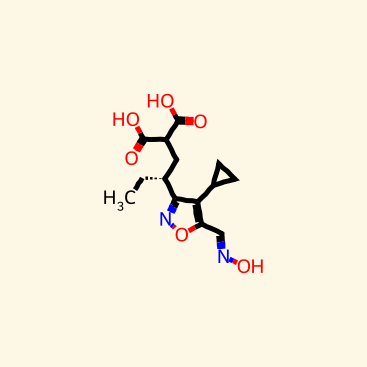 CC[C@H](CC(C(=O)O)C(=O)O)c1noc(C=NO)c1C1CC1